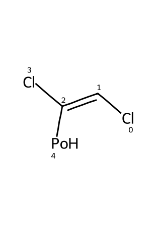 ClC=[C](Cl)[PoH]